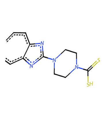 S=C(S)N1CCN(c2nc3cccccc-3n2)CC1